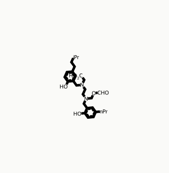 CCCc1ccc(O)c(CN(CCN(CC(=O)O)Cc2cc(CCC(C)C)ccc2O)COC=O)c1